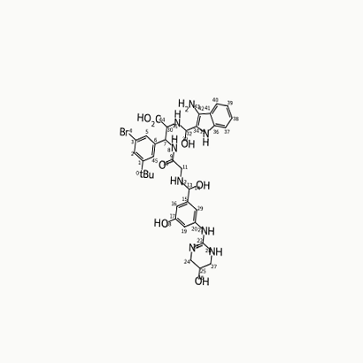 CC(C)(C)c1cc(Br)cc(C(NC(=O)CNC(O)c2cc(O)cc(NC3=NCC(O)CN3)c2)C(NC(O)c2[nH]c3ccccc3c2N)C(=O)O)c1